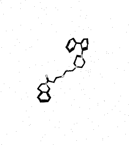 O=C(CCOCCN1CCN(c2ccccc2-c2ccccc2)CC1)N1CCc2ccccc2C1